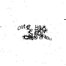 COCCCCn1c(C(=O)N(CC(C)C)[C@H]2C[C@@H](C(O)c3ccccn3)CN(C(=O)OC(C)(C)C)C2)nc2ccccc21